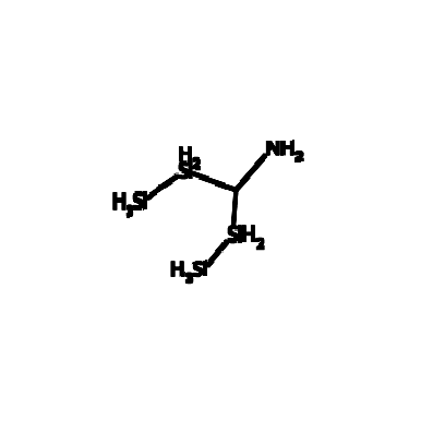 NC([SiH2][SiH3])[SiH2][SiH3]